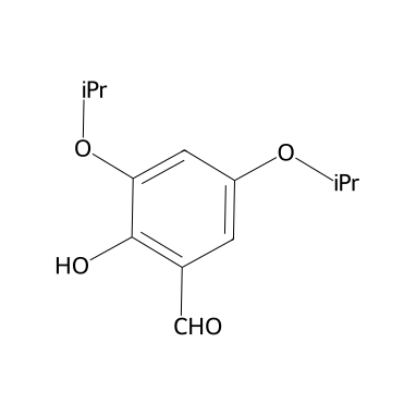 CC(C)Oc1cc(C=O)c(O)c(OC(C)C)c1